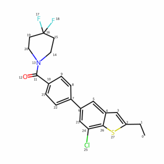 CCc1cc2cc(-c3ccc(C(=O)N4CCC(F)(F)CC4)cc3)cc(Cl)c2s1